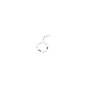 NCN1N=NN=NN1